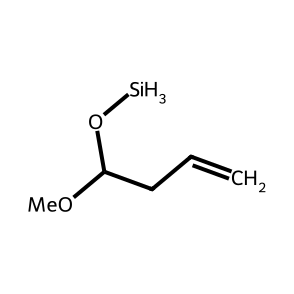 C=CCC(OC)O[SiH3]